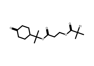 CCC(C)(C)C(=O)OCCC(=O)OC(C)(C)C1CCC(=O)CC1